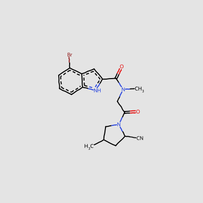 CC1CC(C#N)N(C(=O)CN(C)C(=O)c2cc3c(Br)cccc3[nH]2)C1